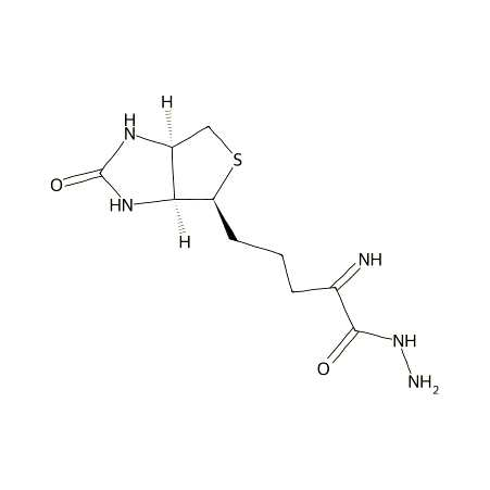 N=C(CCC[C@@H]1SC[C@@H]2NC(=O)N[C@@H]21)C(=O)NN